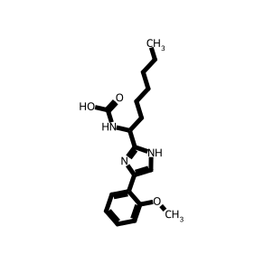 CCCCCCC(NC(=O)O)c1nc(-c2ccccc2OC)c[nH]1